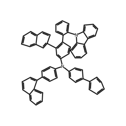 c1ccc(-c2ccc(N(c3ccc(-c4cccc5ccccc45)cc3)c3ccc(-c4ccccc4-n4c5ccccc5c5ccccc54)c(-c4ccc5ccccc5c4)c3)cc2)cc1